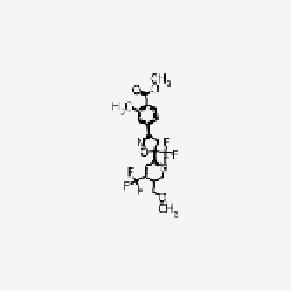 COCC1CN=C(C2(C(F)(F)F)CC(c3ccc(C(=O)OC)c(C)c3)=NO2)C=C1C(F)(F)F